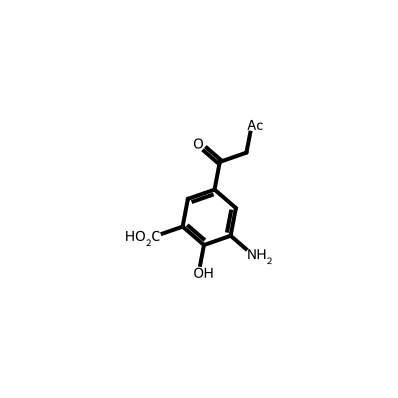 CC(=O)CC(=O)c1cc(N)c(O)c(C(=O)O)c1